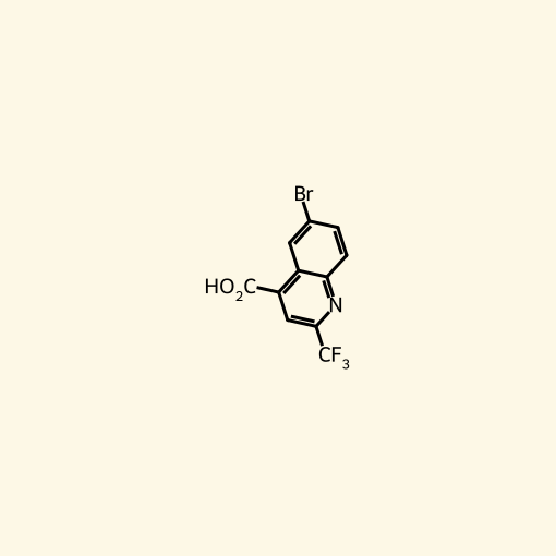 O=C(O)c1cc(C(F)(F)F)nc2ccc(Br)cc12